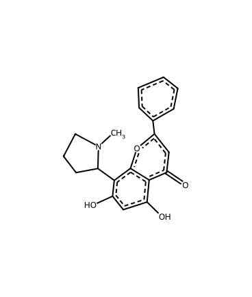 CN1CCCC1c1c(O)cc(O)c2c(=O)cc(-c3ccccc3)oc12